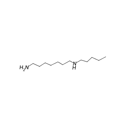 CCCCCNCCCCCCCN